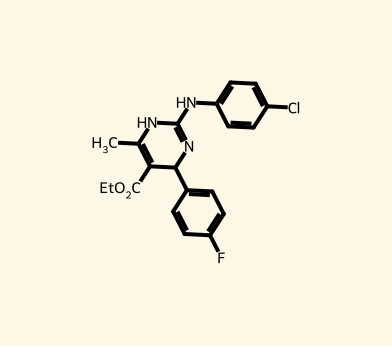 CCOC(=O)C1=C(C)NC(Nc2ccc(Cl)cc2)=NC1c1ccc(F)cc1